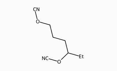 CCC(CCCOC#N)OC#N